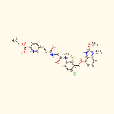 CCOC(=O)c1ccc(C=CC(=O)NCC(=O)N(C)c2ccc(Cl)c(COc3cccc4c3nc(OC)n4C)c2Cl)cn1